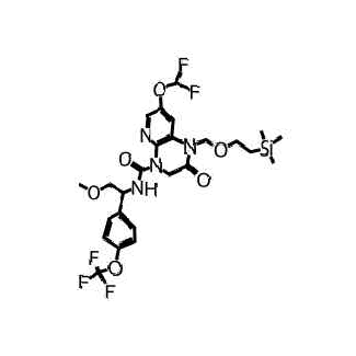 COCC(NC(=O)N1CC(=O)N(COCC[Si](C)(C)C)c2cc(OC(F)F)cnc21)c1ccc(OC(F)(F)F)cc1